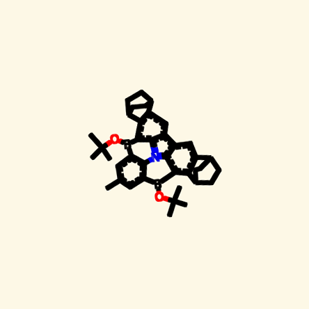 Cc1cc2c3c(c1)B(OC(C)(C)C)c1c4c(cc5c6cc7c(c(c6n-3c15)B2OC(C)(C)C)C1CCC7CC1)C1CCC4CC1